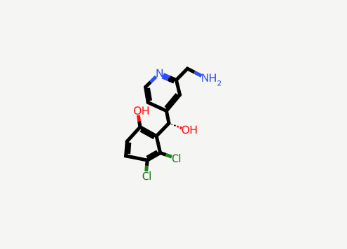 NCc1cc([C@H](O)c2c(O)ccc(Cl)c2Cl)ccn1